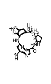 BC1(B)O[C@@H]2CCC[C@H]2NC(=O)c2cnc3c(NC)cc(nn23)Nc2cc1cc1nn(C)nc21